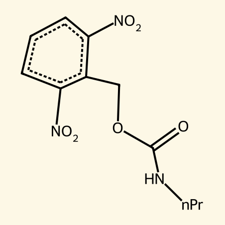 CCCNC(=O)OCc1c([N+](=O)[O-])cccc1[N+](=O)[O-]